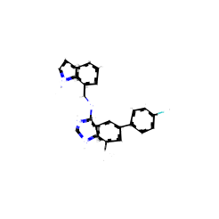 COc1cc(-c2ccc(F)cc2)cc2c(NCc3cccc4ccn(C)c34)ncnc12